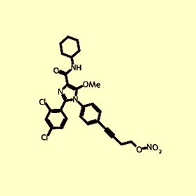 COc1c(C(=O)NC2CCCCC2)nc(-c2ccc(Cl)cc2Cl)n1-c1ccc(C#CCCO[N+](=O)[O-])cc1